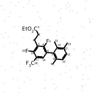 CCOC(=O)CCc1c(F)c(-c2c(C)ccc(C)c2C)cc(C(F)(F)F)c1F